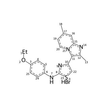 Br.CCOc1ccc(Nc2nc(-c3c(C)nc4cc(C)ccn34)cs2)cc1